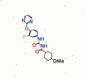 COC1CCC(C(=O)NC(=O)Nc2ccc(Oc3ncccn3)c(F)c2)CC1